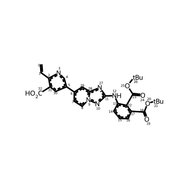 C=Cc1ncc(-c2ccn3nc(Nc4cccc(C(=O)OC(C)(C)C)c4C(=O)OC(C)(C)C)nc3c2)cc1C(=O)O